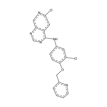 Clc1cc2c(Nc3ccc(OCc4ccccn4)c(Cl)c3)ncnc2cn1